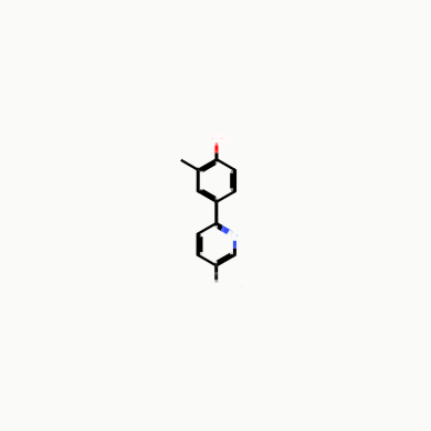 CCOC(=O)c1ccc(-c2ccc(O)c(C)c2)nc1